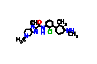 CNC1=CC(C)C(c2cccc(NC(=O)c3nc4c(n3C)CCN(C)C4)c2Cl)=CC=C1